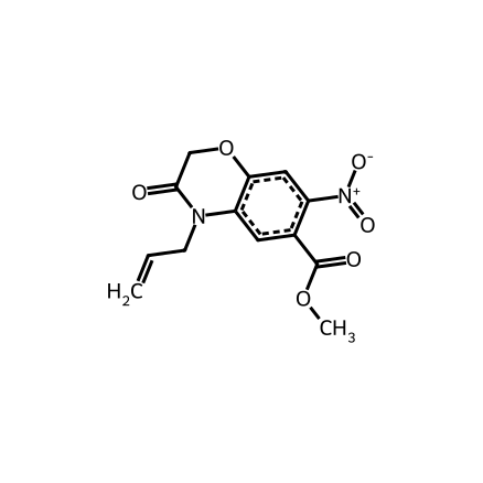 C=CCN1C(=O)COc2cc([N+](=O)[O-])c(C(=O)OC)cc21